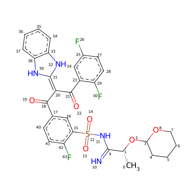 C[C@@H](OC1CCCCO1)C(=N)NS(=O)(=O)c1cc(C(=O)C(C(=O)c2cc(F)ccc2F)=C2Nc3ccccc3N2)ccc1F